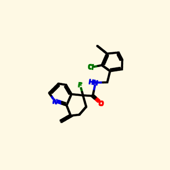 C=C1CCC(F)(C(=O)NCc2cccc(C)c2Cl)c2cccnc21